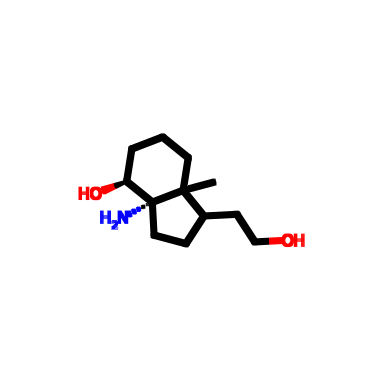 CC12CCC[C@H](O)[C@]1(N)CCC2CCO